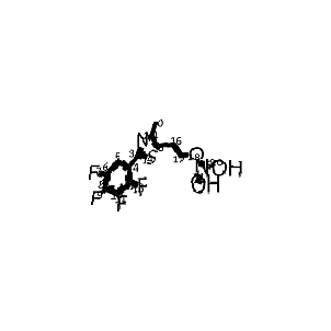 Cc1nc(-c2cc(F)c(F)c(F)c2F)sc1CCON(O)O